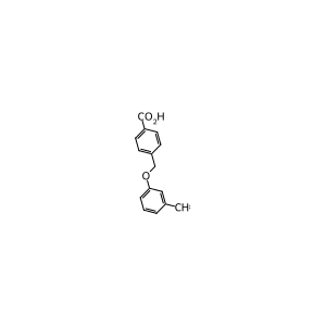 [CH]c1cccc(OCc2ccc(C(=O)O)cc2)c1